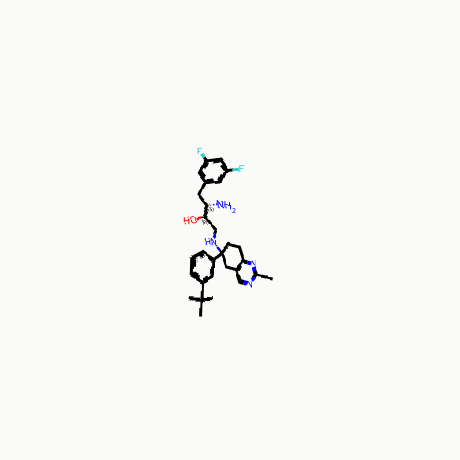 Cc1ncc2c(n1)CCC(NC[C@@H](O)[C@@H](N)Cc1cc(F)cc(F)c1)(c1cccc(C(C)(C)C)c1)C2